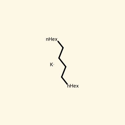 CCCCCCCCCCCCCCCC.[K]